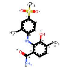 Cc1cc(S(C)(=O)=O)ccc1Nc1c(C(N)=O)ccc([N+](=O)[O-])c1O